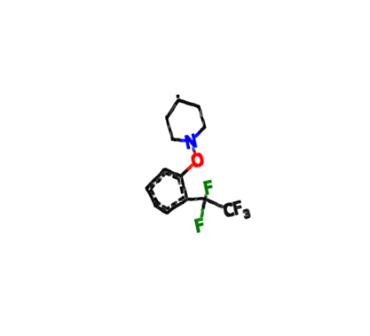 FC(F)(F)C(F)(F)c1ccccc1ON1CC[CH]CC1